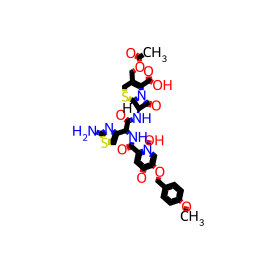 COc1ccc(COc2cn(O)c(C(=O)NC(C(=O)N[C@@H]3C(=O)N4C(C(=O)O)=C(COC(C)=O)CS[C@H]34)c3csc(N)n3)cc2=O)cc1